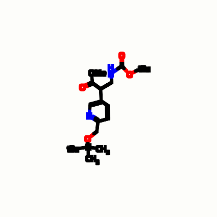 COC(=O)C(CNC(=O)OC(C)(C)C)c1ccc(CO[Si](C)(C)C(C)(C)C)nc1